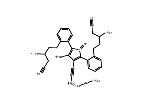 C#CCC(CCCCCC)CCc1ccccc1C1=C(C#CCCCCCCC)C(CCCCCC)=C(c2ccccc2CCC(CC#C)CCCCCC)[N+]1=[N-].CCCCC[CH2][Ni][CH2]CCCCC